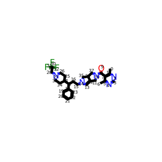 Cc1ncnc(C)c1C(=O)N1CC2=CN(CCC(c3ccccc3)C3CCN(CC(F)(F)F)CC3)CC2C1